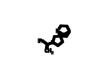 C=C(C(C)C)N1CCC2(CC3CCN2CC3)C1